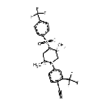 C[C@@H]1CN(c2ccc(C#N)c(C(F)(F)F)c2)[C@@H](C)CN1S(=O)(=O)c1ccc(C(F)(F)F)cc1